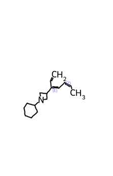 C=C/C(=C\C=C/C)C1CN(C2CCCCC2)C1